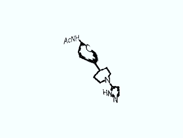 CC(=O)Nc1ccc(C2CCN(c3ccn[nH]3)CC2)cc1